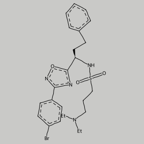 CCN(CC)CCCS(=O)(=O)N[C@H](CCc1ccccc1)c1nc(-c2ccc(Br)cc2)no1